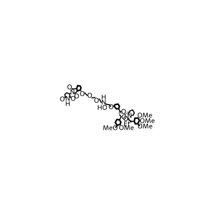 CC[C@H](C(=O)N1CCCC[C@H]1C(=O)O[C@H](CCc1ccc(OC)c(OC)c1)c1cccc(OCC(O)NCCOCCOCCOc2cccc3c2C(=O)N(C2CCC(=O)NC2=O)C3=O)c1)c1cc(OC)c(OC)c(OC)c1